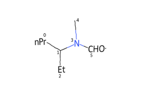 CCCC(CC)N(C)[C]=O